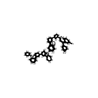 Cc1ccc2nc(-c3cccc(-c4cccc5c4oc4ccc(-n6c7c(c8cc(-c9ccc%10c(c9)c9ccccc9n%10-c9ccccc9)ccc86)C=CCC7)cc45)c3)cc(-c3ccccc3)c2c1